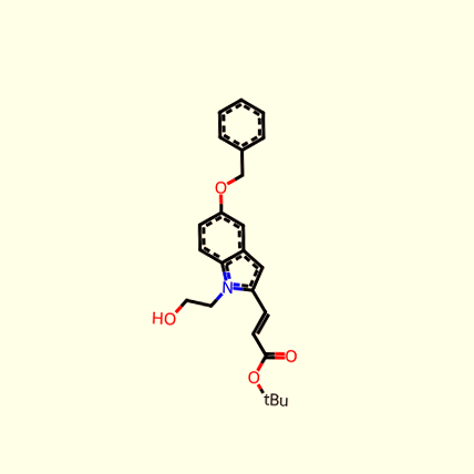 CC(C)(C)OC(=O)/C=C/c1cc2cc(OCc3ccccc3)ccc2n1CCO